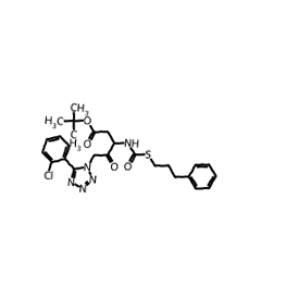 CC(C)(C)OC(=O)CC(NC(=O)SCCCc1ccccc1)C(=O)Cn1nnnc1-c1ccccc1Cl